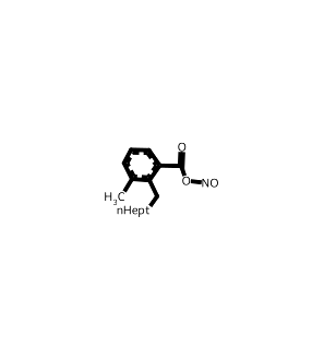 CCCCCCCCc1c(C)cccc1C(=O)ON=O